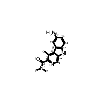 Cc1c(C(=O)N(C)C)ncc2[nH]c3ccc(N)cc3c12